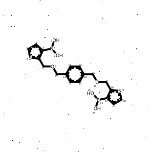 OB(O)c1ccsc1COCc1ccc(COCc2sccc2B(O)O)cc1